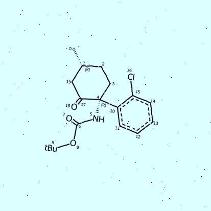 C[C@@H]1CC[C@@](NC(=O)OC(C)(C)C)(c2ccccc2Cl)C(=O)C1